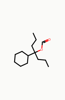 CCCC(CCC)(O[C]=O)C1CCCCC1